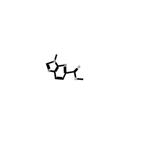 COC(=O)c1ccc2ncn(C)c2n1